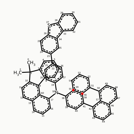 CC1(C)c2ccccc2-c2c1ccc1cccc(N(c3ccc(-c4ccc5sc6ccccc6c5c4)cc3)c3ccc(-c4cccc5cccc(-c6ccccc6)c45)cc3)c21